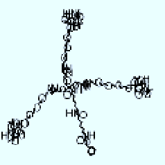 CC(=O)N[C@H]1[C@H]2OC[C@](COCCOCCOCCOCCn3cc(COCC(COCc4cn(CCOCCOCCOCCOC[C@@]56CO[C@@H](O5)[C@H](NC(C)=O)[C@H]5OC(C)(C)O[C@H]56)nn4)(COCc4cn(CCOCCOCCOCCO[C@@]56CO[C@@H](O5)[C@H](NC(C)=O)[C@H]5OC(C)(C)O[C@H]56)nn4)NC(=O)CCCCCNC(=O)CCCCCNC(=O)OCc4ccccc4)nn3)(O2)[C@@H]2OC(C)(C)O[C@H]12